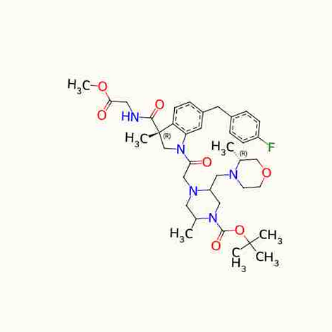 COC(=O)CNC(=O)[C@@]1(C)CN(C(=O)CN2CC(C)N(C(=O)OC(C)(C)C)CC2CN2CCOC[C@H]2C)c2cc(Cc3ccc(F)cc3)ccc21